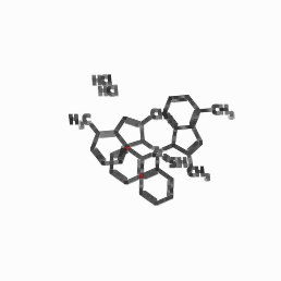 CC1=Cc2c(C)cccc2[CH]1[Zr](=[SiH2])([c]1ccccc1)([c]1ccccc1)[CH]1C(C)=Cc2c(C)cccc21.Cl.Cl